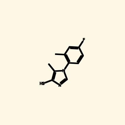 Cc1cc(F)ccc1-n1cnc(S)c1C